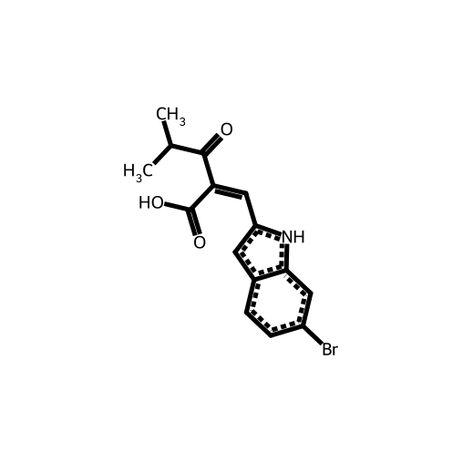 CC(C)C(=O)/C(=C/c1cc2ccc(Br)cc2[nH]1)C(=O)O